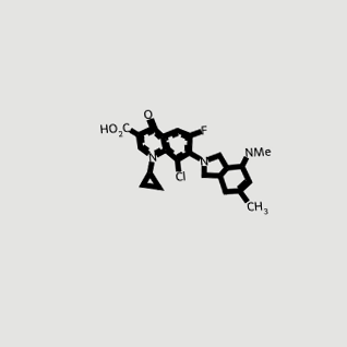 CNC1C=C(C)CC2CN(c3c(F)cc4c(=O)c(C(=O)O)cn(C5CC5)c4c3Cl)CC21